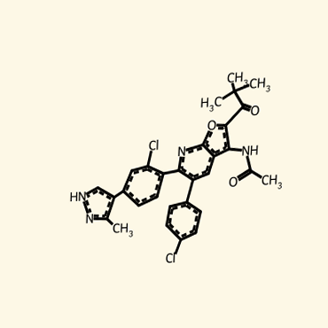 CC(=O)Nc1c(C(=O)C(C)(C)C)oc2nc(-c3ccc(-c4c[nH]nc4C)cc3Cl)c(-c3ccc(Cl)cc3)cc12